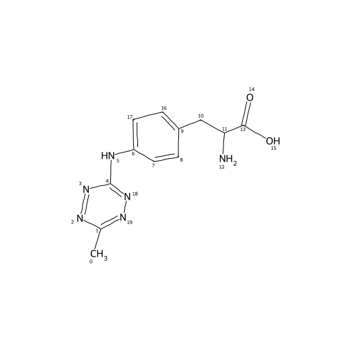 Cc1nnc(Nc2ccc(CC(N)C(=O)O)cc2)nn1